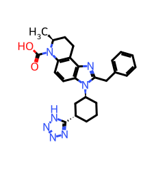 C[C@H]1CCc2c(ccc3c2nc(Cc2ccccc2)n3[C@H]2CCC[C@H](c3nnn[nH]3)C2)N1C(=O)O